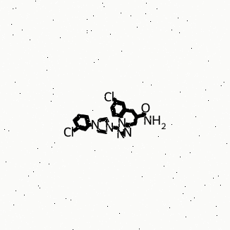 NC(=O)C1Cc2cc(Cl)ccc2-n2c(nnc2N2CCN(c3cccc(Cl)c3)CC2)C1